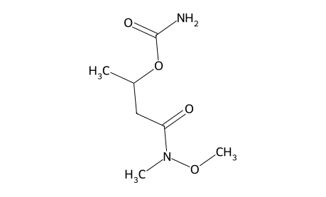 CON(C)C(=O)CC(C)OC(N)=O